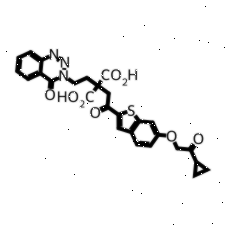 O=C(CC(CCn1nnc2ccccc2c1=O)(C(=O)O)C(=O)O)c1cc2ccc(OCC(=O)C3CC3)cc2s1